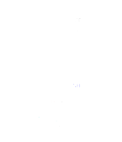 FC(F)OC[C@@H]1CCC(c2ccc(C(F)(F)F)cc2)CN1